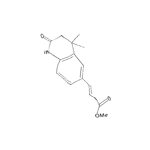 COC(=O)C=Cc1ccc2c(c1)C(C)(C)CC(=O)N2